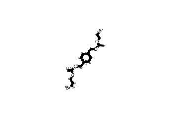 CC(OCCBr)OCC1CCC(COC(C)OCCBr)CC1